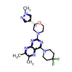 Cc1nc2nc(N3CCO[C@@H](c4cnn(C)c4)C3)nc(N3CCC(F)(F)CC3)c2nc1C